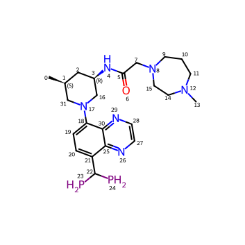 C[C@H]1C[C@@H](NC(=O)CN2CCCN(C)CC2)CN(c2ccc(C(P)P)c3nccnc23)C1